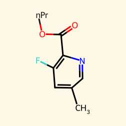 CCCOC(=O)c1ncc(C)cc1F